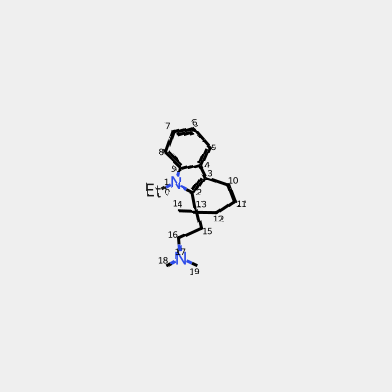 CCn1c2c(c3ccccc31)CCCC2(C)CCN(C)C